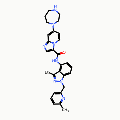 CCc1nn(Cc2cccc(C)n2)c2cccc(NC(=O)c3cnc4cc(N5CCCNCC5)ccn34)c12